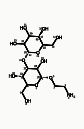 NCCO[C@@H]1OC(CO)[C@H](O)C(O[C@H]2OC(CO)[C@H](O)C(O)C2O)C1O